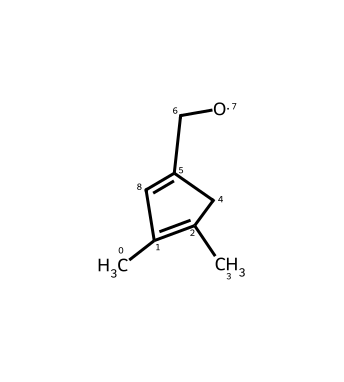 CC1=C(C)CC(C[O])=C1